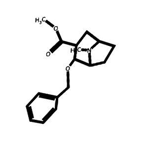 COC(=O)C1CC2CCC(C1OCc1ccccc1)N2C